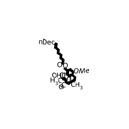 CCCCCCCCCCCCCCCCCC(=O)OCc1cc(OC)c2c(c1C=O)OC(C)(CC(=C=O)C=C(C)C)CC2